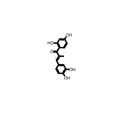 C/C(=C\c1ccc(O)c(O)c1)C(=O)c1ccc(O)cc1O